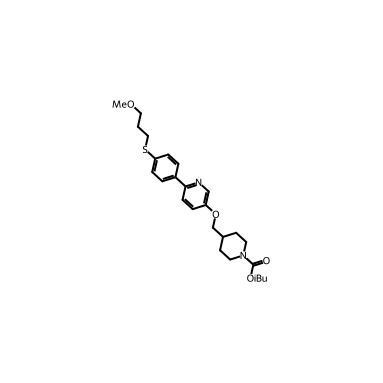 COCCCSc1ccc(-c2ccc(OCC3CCN(C(=O)OCC(C)C)CC3)cn2)cc1